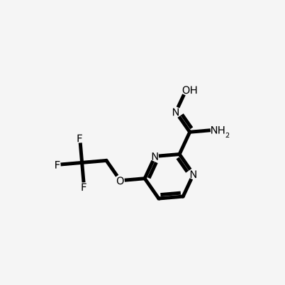 N/C(=N\O)c1nccc(OCC(F)(F)F)n1